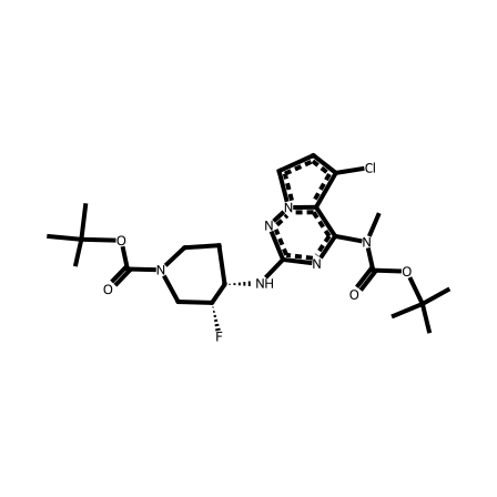 CN(C(=O)OC(C)(C)C)c1nc(N[C@H]2CCN(C(=O)OC(C)(C)C)C[C@H]2F)nn2ccc(Cl)c12